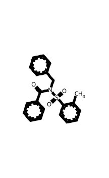 Cc1ccccc1S(=O)(=O)N(Cc1ccccc1)C(=O)c1ccccc1